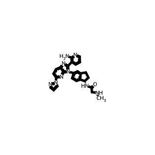 CNCC(=O)N[C@H]1CCc2cc(-n3c(-c4cccnc4N)nc4ccc(-n5cccn5)nc43)ccc21